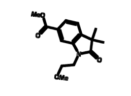 COCCN1C(=O)C(C)(C)c2ccc(C(=O)OC)cc21